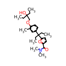 CCC(O)(CC)COc1ccc(C(CC)(CC)c2ccc(C(=O)N(C)C)o2)cc1C